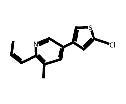 C/C=C\c1ncc(-c2csc(Cl)c2)cc1C